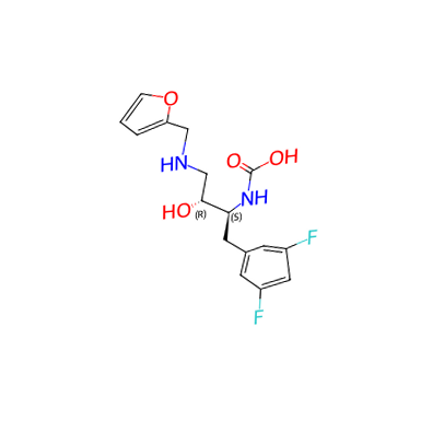 O=C(O)N[C@@H](Cc1cc(F)cc(F)c1)[C@H](O)CNCc1ccco1